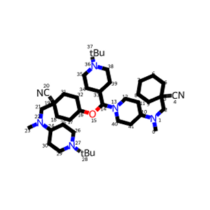 CN(CC1(C#N)CCCCC1)C1CCN(C(OC2CCC(C#N)(CN(C)C3CCN(C(C)(C)C)CC3)CC2)C2CCN(C(C)(C)C)CC2)CC1